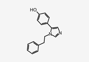 Oc1ccc(-c2cncn2CCc2ccccc2)cc1